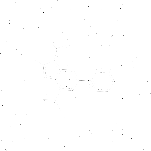 CC(=O)c1c(C)[nH]c2c(N(C)C)cc(-c3ccccn3)cc12